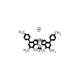 CC1=Cc2c(-c3ccc(C)cc3)cc(C)c(C)c2[CH]1[Zr+2]1([CH]2C(C)=Cc3c(-c4ccc(C)cc4)cc(C)c(C)c32)[CH2][CH2]1.[Cl-].[Cl-]